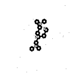 c1ccc(-n2c3ccccc3c3cc(-c4ccc5nc(-c6ccc7c(c6)c6ccccc6n7-c6ccccc6)cc(-c6cccc(-c7cccnc7)c6)c5c4)ccc32)cc1